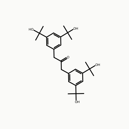 CC(C)(O)c1cc(CC(=O)Cc2cc(C(C)(C)O)cc(C(C)(C)O)c2)cc(C(C)(C)O)c1